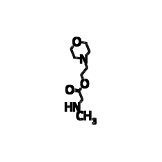 CNCC(=O)OCCN1CCOCC1